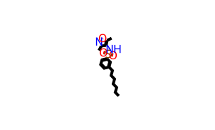 CCCCCCCc1cccc(S(=O)(=O)Nc2c(C)noc2C)c1